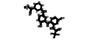 CC(C)(C)C(=O)Nc1cc(F)ccc1Nc1nc(NC2CCCC(C(N)=O)C2)ncc1Cl